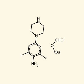 CC(C)(C)OC=O.Nc1c(F)cc(N2CCNCC2)cc1F